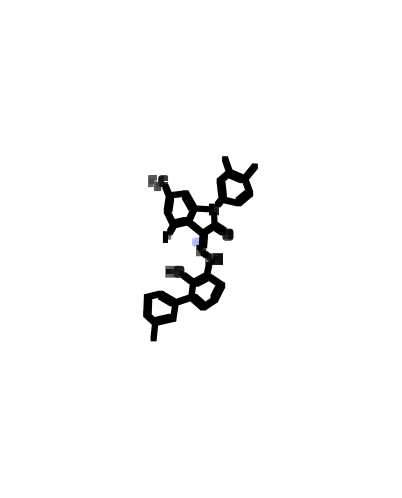 Cc1cccc(-c2cccc(N/N=C3\C(=O)N(c4ccc(C)c(C)c4)c4cc(C(F)(F)F)cc(F)c43)c2O)c1